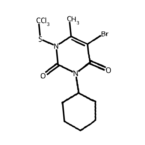 Cc1c(Br)c(=O)n(C2CCCCC2)c(=O)n1SC(Cl)(Cl)Cl